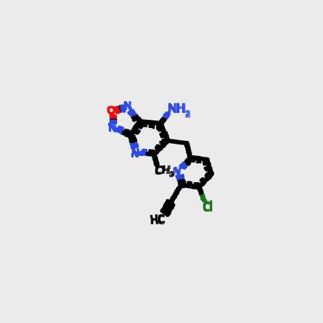 C#Cc1nc(Cc2c(C)nc3nonc3c2N)ccc1Cl